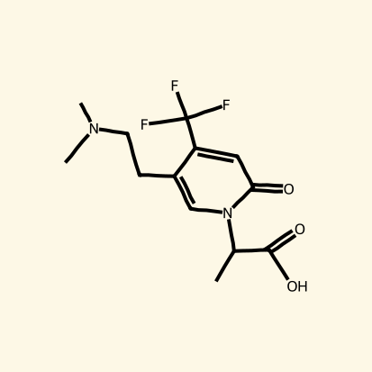 CC(C(=O)O)n1cc(CCN(C)C)c(C(F)(F)F)cc1=O